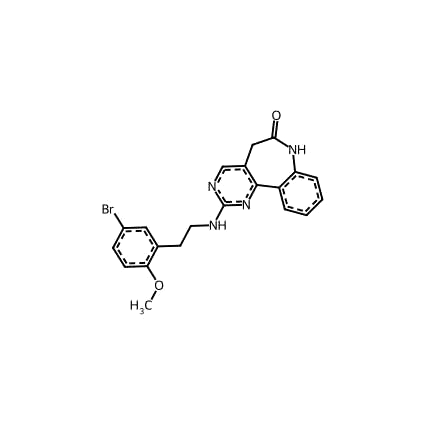 COc1ccc(Br)cc1CCNc1ncc2c(n1)-c1ccccc1NC(=O)C2